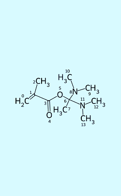 C=C(C)C(=O)OC(C)(N(C)C)N(C)C